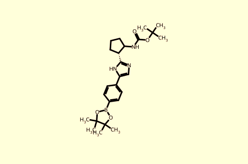 CC(C)(C)OC(=O)NC1CCC[C@H]1c1ncc(-c2ccc(B3OC(C)(C)C(C)(C)O3)cc2)[nH]1